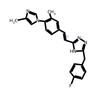 Cc1cn(-c2ccc(/C=C/c3nnc(Cc4ccc(F)cc4)[nH]3)cc2C)cn1